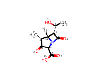 CC(O)[C@@H]1C(=O)N2C(C(=O)O)C(=O)[C@H](C)[C@H]12